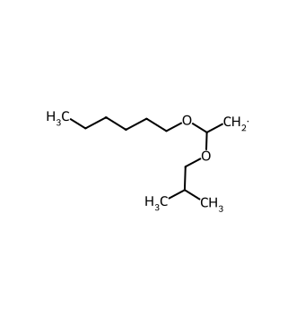 [CH2]C(OCCCCCC)OCC(C)C